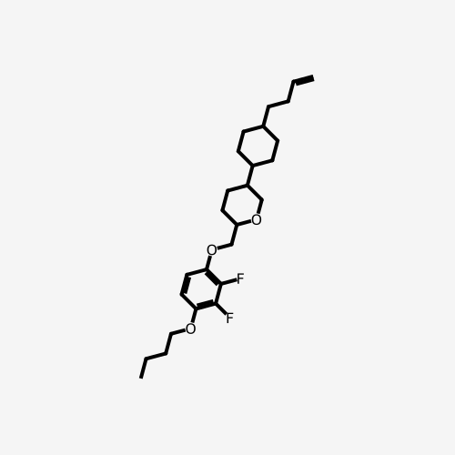 C=CCCC1CCC(C2CCC(COc3ccc(OCCCC)c(F)c3F)OC2)CC1